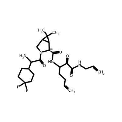 C=CCCC(NC(=O)[C@@H]1C2C(CN1C(=O)C(N)C1CCC(F)(F)CC1)C2(C)C)C(=O)C(=O)NCC=C